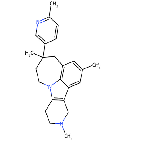 Cc1cc2c3c(c1)c1c(n3CCC(C)(c3ccc(C)nc3)C2)CCN(C)C1